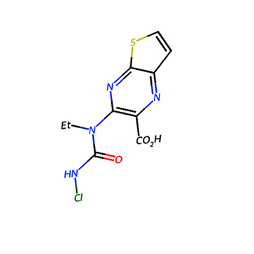 CCN(C(=O)NCl)c1nc2sccc2nc1C(=O)O